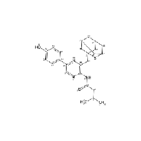 CC(C)CC(=O)Nc1ncc(-c2ccc(O)cc2)nc1CC12CC3CC(CC(C3)C1)C2